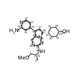 COC[C@H](C)Nc1ncc2c(-c3ccnc(N)c3)cc([C@H]3CC[C@H](O)CC3)n2n1